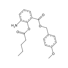 CCCCC(=O)Oc1c(N)cccc1C(=O)OCc1ccc(OC)cc1